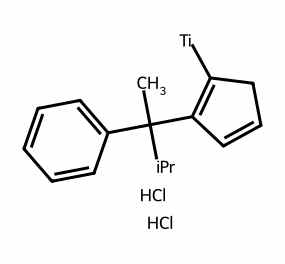 CC(C)C(C)(C1=[C]([Ti])CC=C1)c1ccccc1.Cl.Cl